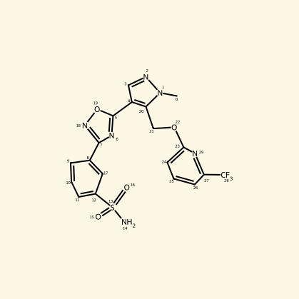 Cn1ncc(-c2nc(-c3cccc(S(N)(=O)=O)c3)no2)c1COc1cccc(C(F)(F)F)n1